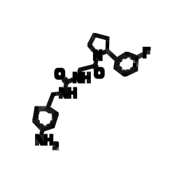 Nc1ccc(CNC(=O)NCC(=O)N2CCCC2c2cccc(F)c2)cc1